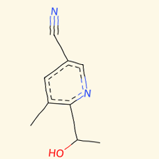 Cc1cc(C#N)cnc1C(C)O